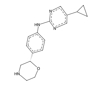 c1cc([C@H]2CNCCO2)ccc1Nc1ncc(C2CC2)cn1